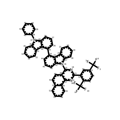 FC(F)(F)c1ccc(C(F)(F)F)c(-c2nc(-n3c4ccccc4c4c(-c5cccc6c5c5ccccc5n6-c5ccccc5)cccc43)c3ccc4ccccc4c3n2)c1